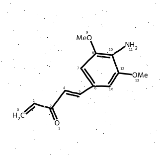 C=CC(=O)C=Cc1cc(OC)c(N)c(OC)c1